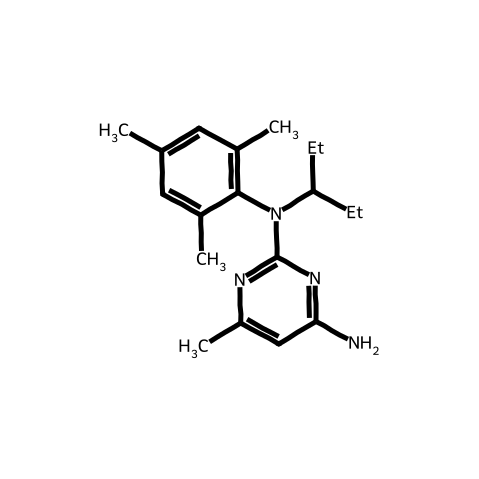 CCC(CC)N(c1nc(C)cc(N)n1)c1c(C)cc(C)cc1C